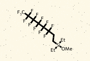 CC[Si](CC)(CCC(F)(F)C(F)(F)C(F)(F)C(F)(F)C(F)(F)C(F)(F)F)OC